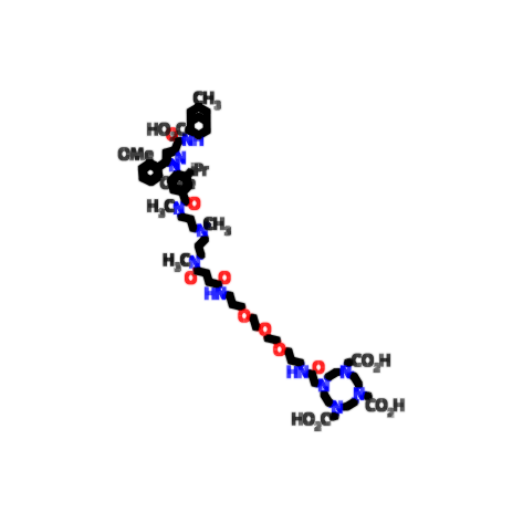 COc1cccc(OC)c1-c1cc(C(=O)NC2(C(=O)O)CCC3CC(C)CC2C3)nn1-c1ccc(C(=O)N(C)CCCN(C)CCCN(C)C(=O)CCC(=O)NCCCOCCOCCOCCCNC(=O)CN2CCN(CC(=O)O)CCN(CC(=O)O)CCN(CC(=O)O)CC2)cc1C(C)C